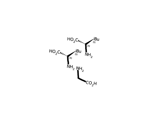 CC[C@H](C)[C@H](N)C(=O)O.CC[C@H](C)[C@H](N)C(=O)O.NCC(=O)O